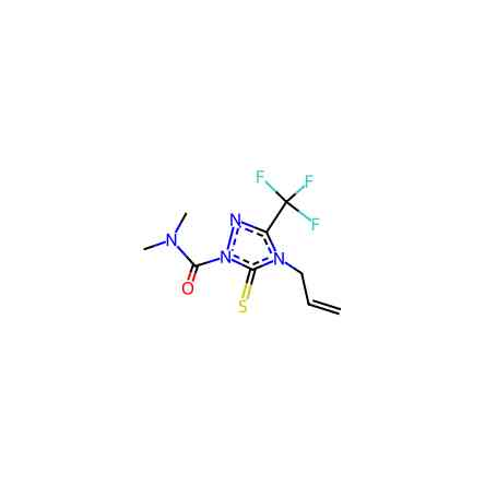 C=CCn1c(C(F)(F)F)nn(C(=O)N(C)C)c1=S